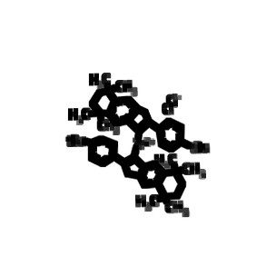 CC(C)(C)c1ccc(C2=[C]([Zr+2][C]3=C(c4ccc(C(C)(C)C)cc4)Cc4cc5c(cc43)C(C)(C)CCC5(C)C)c3cc4c(cc3C2)C(C)(C)CCC4(C)C)cc1.[Cl-].[Cl-]